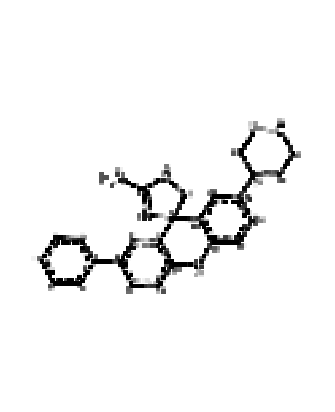 NC1=N[C@@]2(CO1)c1cc(-c3ccccc3)ccc1Oc1cnc(C3=CCOCC3)cc12